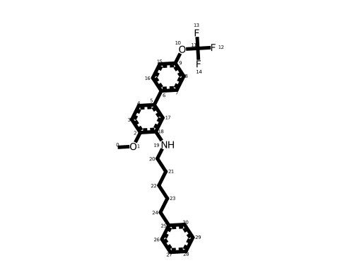 COc1ccc(-c2ccc(OC(F)(F)F)cc2)cc1NCCCCCc1ccccc1